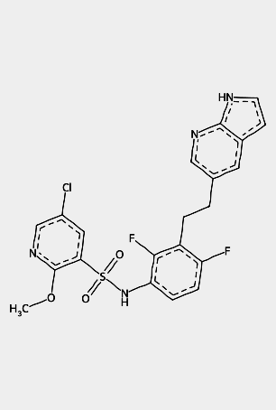 COc1ncc(Cl)cc1S(=O)(=O)Nc1ccc(F)c(CCc2cnc3[nH]ccc3c2)c1F